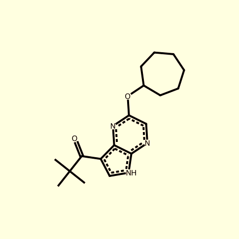 CC(C)(C)C(=O)c1c[nH]c2ncc(OC3CCCCCC3)nc12